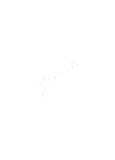 O=C1CCC(Nc2ccc(CC(=O)N3CCC(NC(=O)c4ccccn4)CC3)cc2)C(=O)N1